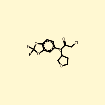 O=C(CCl)N(c1ccc2c(c1)OC(F)(F)O2)C1CCOC1